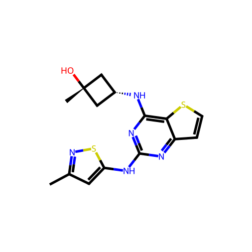 Cc1cc(Nc2nc(N[C@H]3C[C@@](C)(O)C3)c3sccc3n2)sn1